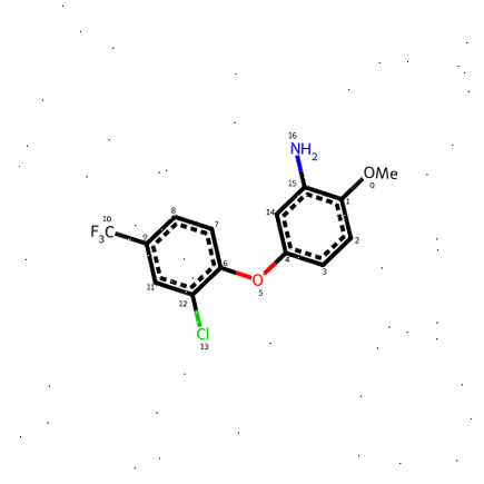 COc1ccc(Oc2ccc(C(F)(F)F)cc2Cl)cc1N